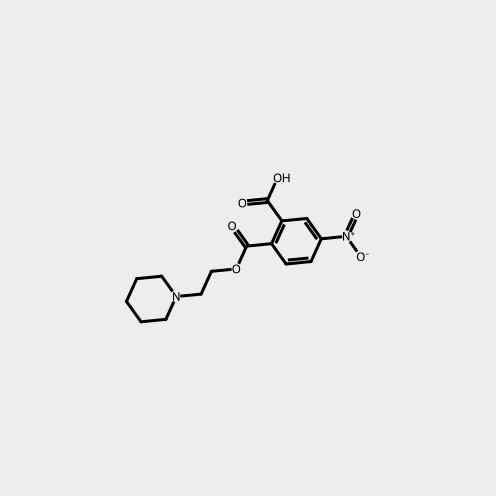 O=C(O)c1cc([N+](=O)[O-])ccc1C(=O)OCCN1CCCCC1